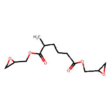 CC(CCCC(=O)OCC1CO1)C(=O)OCC1CO1